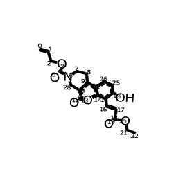 C=CCOC(=O)N1CCc2c(c(=O)oc3c(C=CC(=O)OCC)c(O)ccc23)C1